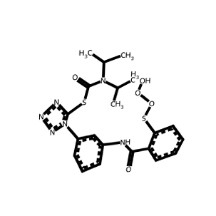 CC(C)N(C(=O)Sc1nnnn1-c1cccc(NC(=O)c2ccccc2SOOO)c1)C(C)C